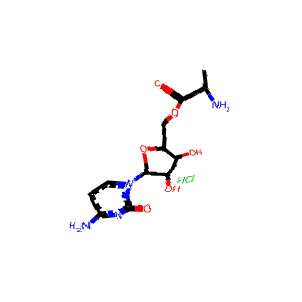 CC(N)C(=O)OCC1OC(n2ccc(N)nc2=O)C(O)C1O.Cl